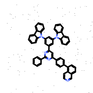 c1ccc(-c2nc(-c3ccc(-c4cccc5cnccc45)cc3)cc(-c3cc(-n4c5ccccc5c5ccccc54)cc(-n4c5ccccc5c5ccccc54)c3)n2)cc1